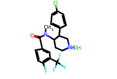 CN(C(=O)c1ccc(F)c(C(F)(F)F)c1)C1CCNCC1c1ccc(Cl)cc1.Cl